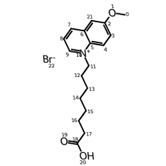 COc1ccc2c(ccc[n+]2CCCCCCCC(=O)O)c1.[Br-]